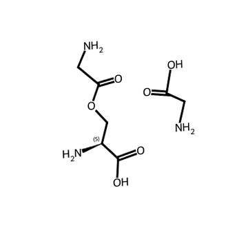 NCC(=O)O.NCC(=O)OC[C@H](N)C(=O)O